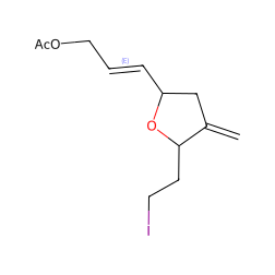 C=C1CC(/C=C/COC(C)=O)OC1CCI